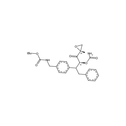 CC(C)(C)OC(=O)NCc1ccc(C(Cc2ccccc2)[C@H](OC(N)=O)C(=O)[C@@]2(C)CO2)cc1